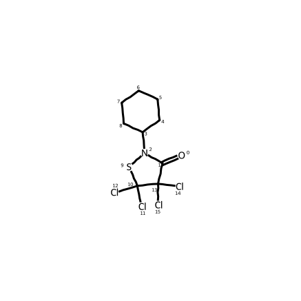 O=C1N(C2CCCCC2)SC(Cl)(Cl)C1(Cl)Cl